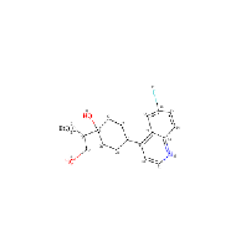 CCOC(=O)C(CO)C1(O)CCC(c2ccnc3ccc(F)cc23)CC1